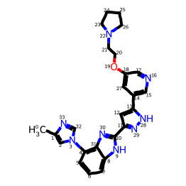 Cc1cn(-c2cccc3[nH]c(-c4cc(-c5cncc(OCCN6CCCC6)c5)[nH]n4)nc23)cn1